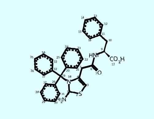 NC1SC=C(CC(=O)N[C@@H](Cc2ccccc2)C(=O)O)N1C(c1ccccc1)(c1ccccc1)c1ccccc1